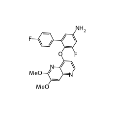 COc1cc2nccc(Oc3c(F)cc(N)cc3-c3ccc(F)cc3)c2nc1OC